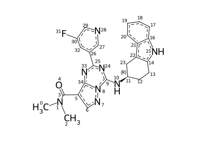 CN(C)C(=O)c1cnn2c(N[C@@H]3CCc4[nH]c5ccccc5c4C3)nc(-c3cncc(F)c3)nc12